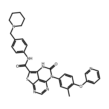 Cc1cc(N2C(=O)Nc3c(C(=O)Nc4ccc(CN5CCCCC5)cc4)sc4ncnc2c34)ccc1Oc1cccnc1